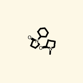 CN1CCCC1=O.O=C1CCCN1C1CCCCC1